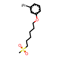 CC(C)c1cccc(OCCCCCCS(C)(=O)=O)c1